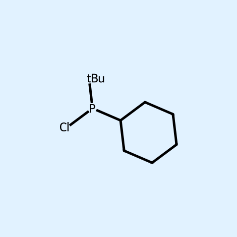 CC(C)(C)P(Cl)C1CCCCC1